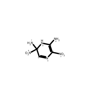 NC1=C([N+](=O)[O-])N=CC(N)([N+](=O)[O-])N1